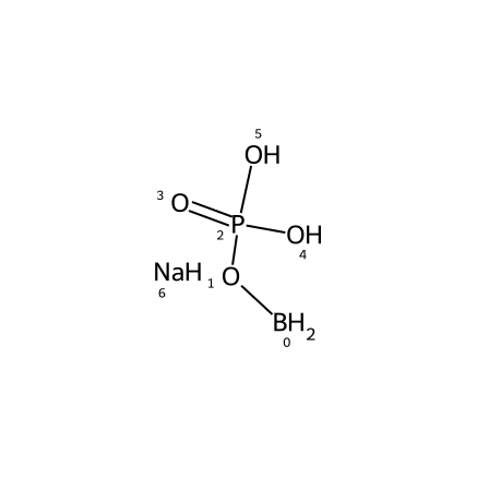 BOP(=O)(O)O.[NaH]